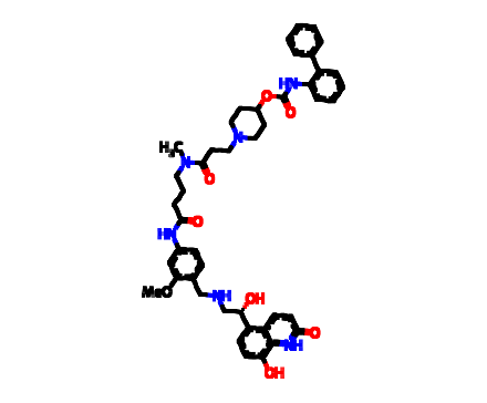 COc1cc(NC(=O)CCCN(C)C(=O)CCN2CCC(OC(=O)Nc3ccccc3-c3ccccc3)CC2)ccc1CNC[C@H](O)c1ccc(O)c2[nH]c(=O)ccc12